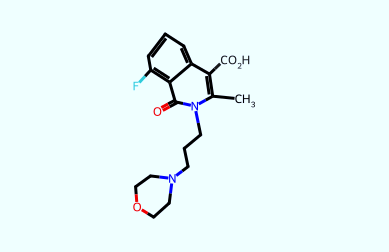 Cc1c(C(=O)O)c2cccc(F)c2c(=O)n1CCCN1CCOCC1